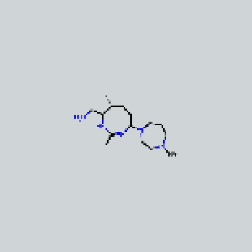 CCCN1CCCN(C2CC[C@@H](C)C(CN)N/C(C)=N\2)CC1